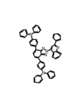 c1ccc(-c2cc(-n3nc4c(-c5ccc(N(c6ccccc6)c6ccccc6)cc5)ccc(-c5ccc(N(c6ccccc6)c6ccccc6)cc5)c4n3)c3ccccc3n2)cc1